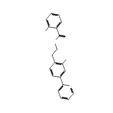 O=C(NCCc1ccc(-c2ccccn2)cc1Cl)c1ccccc1C(F)(F)F